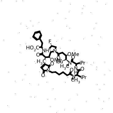 CC[C@H](C)[C@@H]([C@@H](CC(=O)N1C[C@@H](F)C[C@H]1[C@H](OC)[C@@H](C)C(=O)NC(Cc1ccccc1)C(=O)O)OC)N(C)C(=O)C(NC(=O)C(C(C)C)N(C)C(=O)CCCCCN1C(=O)C=CC1=O)C(C)C